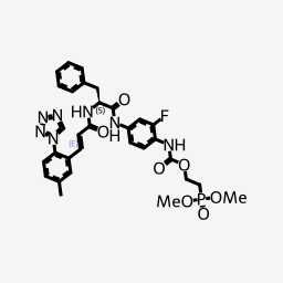 COP(=O)(CCOC(=O)Nc1ccc(NC(=O)[C@H](Cc2ccccc2)NC(=O)/C=C/c2cc(C)ccc2-n2cnnn2)cc1F)OC